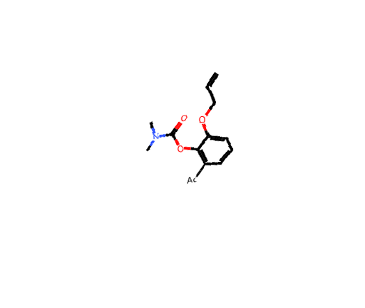 C=CCOc1cccc(C(C)=O)c1OC(=O)N(C)C